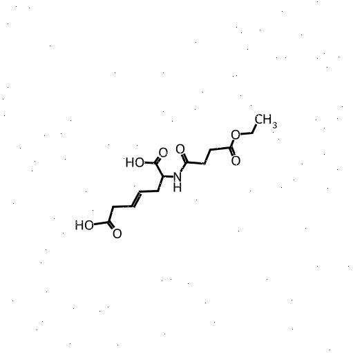 CCOC(=O)CCC(=O)NC(CC=CCC(=O)O)C(=O)O